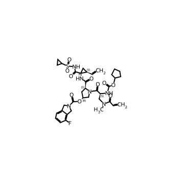 C=CC(=O)N(C)C[C@H](NC(=O)OC1CCCC1)C(=O)N1C[C@H](OC(=O)N2Cc3cccc(F)c3C2)C[C@H]1C(=O)N[C@]1(C(=O)NS(=O)(=O)C2CC2)C[C@H]1C=C